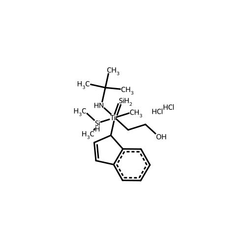 C[SiH](C)[Ti]([CH3])(=[SiH2])([CH2]CO)([NH]C(C)(C)C)[CH]1C=Cc2ccccc21.Cl.Cl